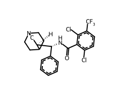 O=C(N[C@H](c1ccccc1)[C@@H]1CN2CCC1CC2)c1c(Cl)ccc(C(F)(F)F)c1Cl